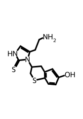 NCCc1c[nH]c(=S)n1C1CSc2ccc(O)cc2C1